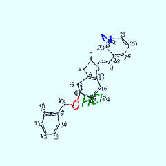 C(=C1/CCc2cc(OCc3ccccc3)ccc21)/c1cccnc1.Cl